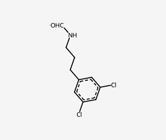 O=[C]NCCCc1cc(Cl)cc(Cl)c1